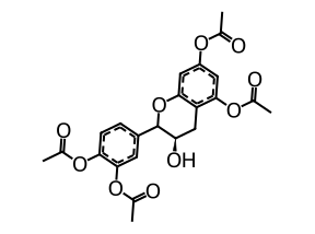 CC(=O)Oc1cc(OC(C)=O)c2c(c1)OC(c1ccc(OC(C)=O)c(OC(C)=O)c1)[C@H](O)C2